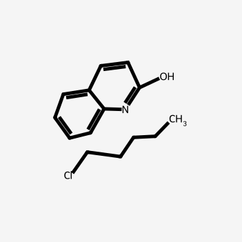 CCCCCCl.Oc1ccc2ccccc2n1